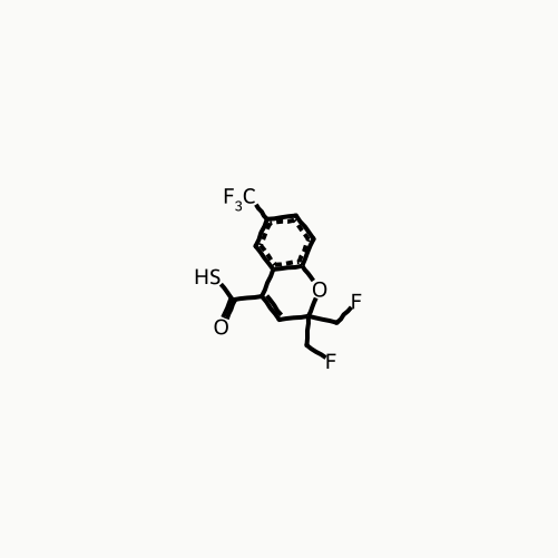 O=C(S)C1=CC(CF)(CF)Oc2ccc(C(F)(F)F)cc21